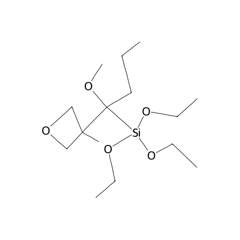 CCCC(OC)(C1(C)COC1)[Si](OCC)(OCC)OCC